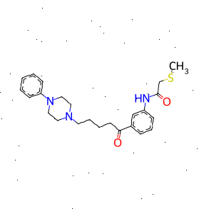 CSCC(=O)Nc1cccc(C(=O)CCCCN2CCN(c3ccccc3)CC2)c1